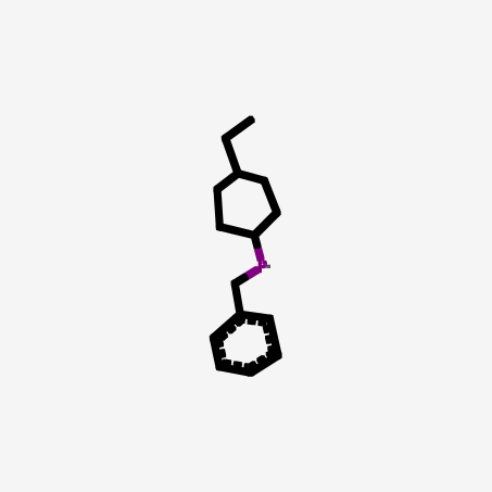 CCC1CCC([P]Cc2ccccc2)CC1